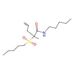 C=CCC(C)(C(=O)NCCCCC)S(=O)(=O)CCCCC